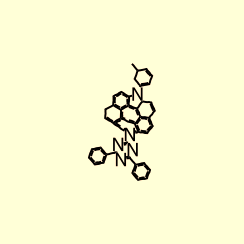 CC1C=CC=C(N2c3ccc4c5c3c3c6c(ccc7c6c5c(n7-c5nc(-c6ccccc6)nc(-c6ccccc6)n5)=CC4)C=CC32)C1